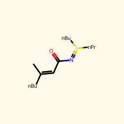 CCCC/C(C)=C/C(=O)/N=S(/CCC)CCCC